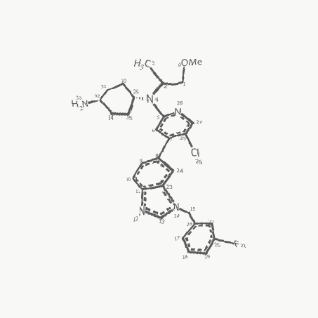 COCC(C)N(c1cc(-c2ccc3ncn(Cc4cccc(F)c4)c3c2)c(Cl)cn1)[C@H]1CC[C@H](N)CC1